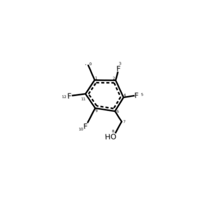 [CH2]c1c(F)c(F)c(CO)c(F)c1F